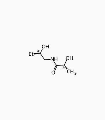 CC[C@@H](O)CNC(=O)[C@H](C)O